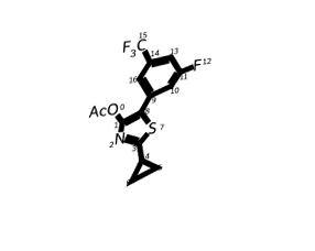 CC(=O)Oc1nc(C2CC2)sc1-c1cc(F)cc(C(F)(F)F)c1